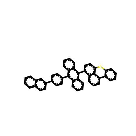 c1ccc2c(c1)Sc1ccc(-c3c4ccccc4c(-c4ccc(-c5ccc6ccccc6c5)cc4)c4ccccc34)c3cccc-2c13